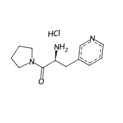 Cl.N[C@@H](Cc1cccnc1)C(=O)N1CCCC1